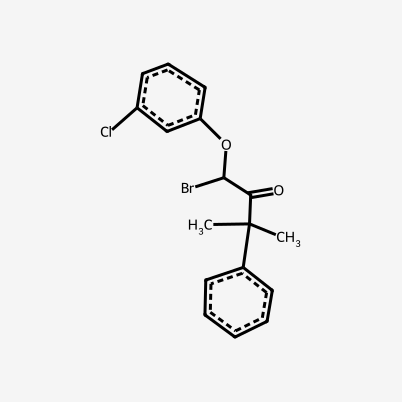 CC(C)(C(=O)C(Br)Oc1cccc(Cl)c1)c1ccccc1